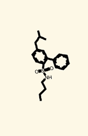 CCCCNS(=O)(=O)c1ccc(CC(C)C)cc1-c1ccccc1